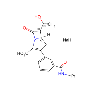 CC(C)NC(=O)c1cccc(C2=C(C(=O)O)N3C(=O)[C@H]([C@@H](C)O)[C@H]3C2)c1.[NaH]